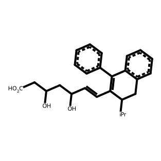 CC(C)C1Cc2ccccc2C(c2ccccc2)=C1/C=C/C(O)CC(O)CC(=O)O